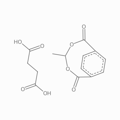 CC1OC(=O)c2ccc(cc2)C(=O)O1.O=C(O)CCC(=O)O